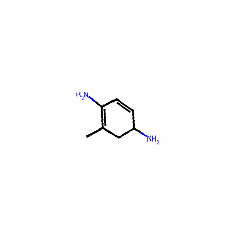 CC1=C(N)C=CC(N)C1